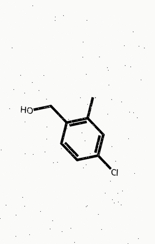 [CH2]c1cc(Cl)ccc1CO